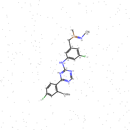 COc1cc(F)ccc1-c1ncnc(Nc2cc(F)cc(CS(C)=NC#N)c2)n1